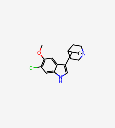 COc1cc2c(C3CN4CCC3CC4)c[nH]c2cc1Cl